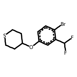 FC(F)c1cc(OC2CCSCC2)ccc1Br